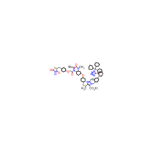 CCCc1nc(C(C)Sc2ccc(Oc3ccc(NC(=O)COc4ccc(CC5SC(=O)NC5=O)cc4)c(N(C)C(=O)OC(C)(C)C)c3)cc2)c(C(=O)OCC)n1Cc1ccc(-c2ccccc2-c2nnnn2C(c2ccccc2)(c2ccccc2)c2ccccc2)cc1